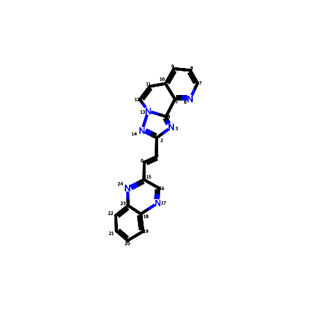 C(=Cc1nc2c3ncccc3ccn2n1)c1cnc2ccccc2n1